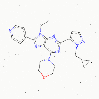 CCn1c(-c2ccncc2)nc2c(N3CCOCC3)nc(-c3ccnn3CC3CC3)nc21